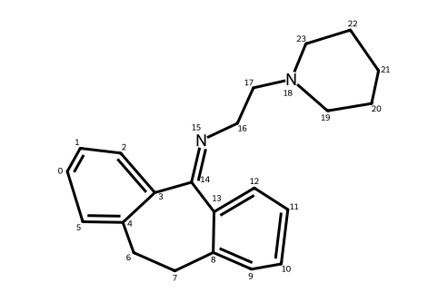 c1ccc2c(c1)CCc1ccccc1C2=NCCN1CCCCC1